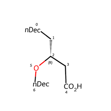 CCCCCCCCCCC[C@H](CC(=O)O)OCCCCCCCCCC